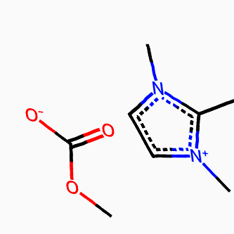 COC(=O)[O-].Cc1n(C)cc[n+]1C